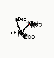 CCCCCCCCCCCCCCCCCCCC#CCCc1ccccc1N=C(CCCC)C(CCCC)=Nc1ccccc1CCC#CCCCCCCCCCCCCCCCCCCC.CCc1ccc(O)c(O)c1C(=O)[O-].CCc1ccc(O)c(O)c1C(=O)[O-].[Ni+2]